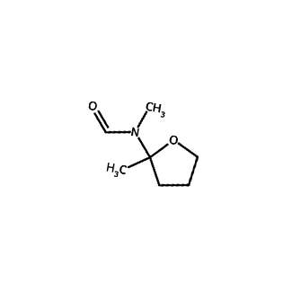 CN(C=O)C1(C)CCCO1